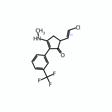 CNC1=C(c2cccc(C(F)(F)F)c2)C(=O)C(/C=C/Cl)C1